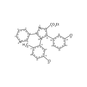 CCOC(=O)c1nc(-c2cccnc2)n(-c2cc(Cl)ccc2C)c1-c1cccc(Cl)c1